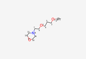 CC(C)OCCCOCCN1CCOCC1